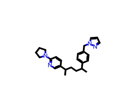 CC(CCC(C)c1ccc(N2CCCC2)nc1)c1ccc(Cn2cccn2)cc1